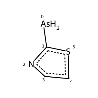 [AsH2]c1nccs1